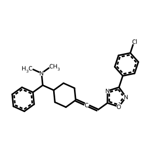 CN(C)C(c1ccccc1)C1CCC(=C=Cc2nc(-c3ccc(Cl)cc3)no2)CC1